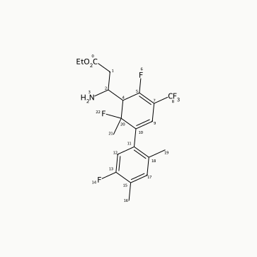 CCOC(=O)CC(N)C1C(F)=C(C(F)(F)F)C=C(c2cc(F)c(C)cc2C)C1(C)F